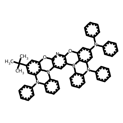 CC(C)(C)c1cc2c3c(c1)N(c1ccccc1)c1ccccc1B3c1cc3c(nc1O2)Oc1cc(N(c2ccccc2)c2ccccc2)cc2c1B3c1ccccc1N2c1ccccc1